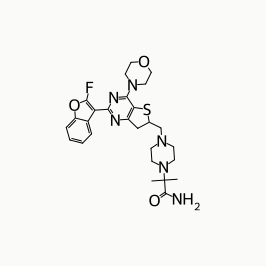 CC(C)(C(N)=O)N1CCN(CC2Cc3nc(-c4c(F)oc5ccccc45)nc(N4CCOCC4)c3S2)CC1